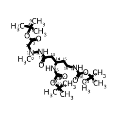 CN(CC(=O)OC(C)(C)C)NC(=O)CC(CCNC(=O)OC(C)(C)C)NC(=O)OC(C)(C)C